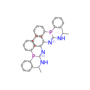 CC(C)N/C(=N/c1ccccc1/N=C(/NC(C)C)P(c1ccccc1)c1ccccc1)P(c1ccccc1)c1ccccc1